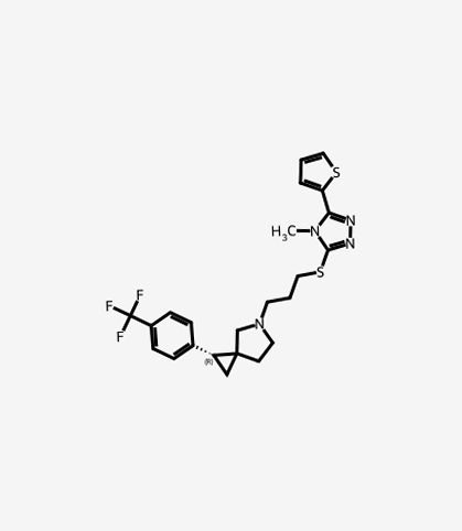 Cn1c(SCCCN2CCC3(C[C@@H]3c3ccc(C(F)(F)F)cc3)C2)nnc1-c1cccs1